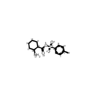 Cc1ccc(S(=O)(=O)OC(=O)C2CCCCC2N)cc1